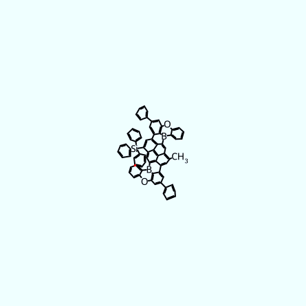 Cc1cc2c3c(cc4c([Si](c5ccccc5)(c5ccccc5)c5ccccc5)cc5c6c(cc1c3c46)B1c3ccccc3Oc3cc(-c4ccccc4)cc-5c31)B1c3ccccc3Oc3cc(-c4ccccc4)cc-2c31